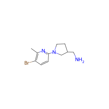 Cc1nc(N2CCC(CN)C2)ccc1Br